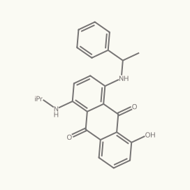 CC(C)Nc1ccc(NC(C)c2ccccc2)c2c1C(=O)c1cccc(O)c1C2=O